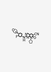 N#Cc1cc2cnc(Nc3ccc(N4CCOCC4)c(F)c3)nc2n(C2CCCC2)c1=O